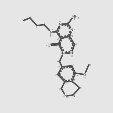 CCCCNc1nc(N)nc2cnn(Cc3cc4c(c(OC)c3)CCNC4)c(=O)c12